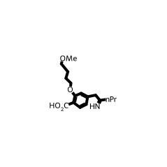 CCCC(=N)Cc1ccc(C(=O)O)c(OCCCCOC)c1